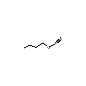 CCCCO[P]#N